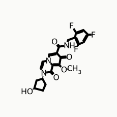 COc1c(=O)c(C(=O)NCc2c(F)cc(F)cc2F)cn2ccn([C@@H]3CC[C@H](O)C3)c(=O)c12